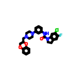 O=C(Nc1cccc(N2CCN(CC3COc4ccccc4O3)CC2)c1)N1CCc2cc(F)c(Cl)cc21